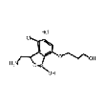 Cl.NCC1OB(O)c2c(OCCCO)ccc(Cl)c21